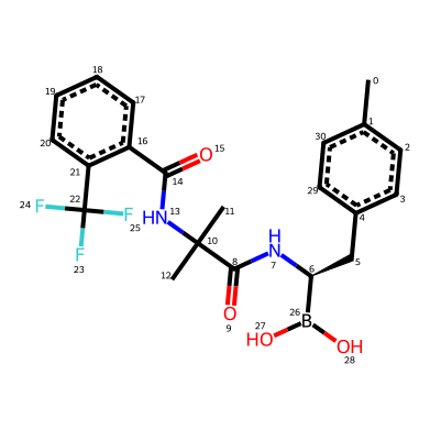 Cc1ccc(C[C@H](NC(=O)C(C)(C)NC(=O)c2ccccc2C(F)(F)F)B(O)O)cc1